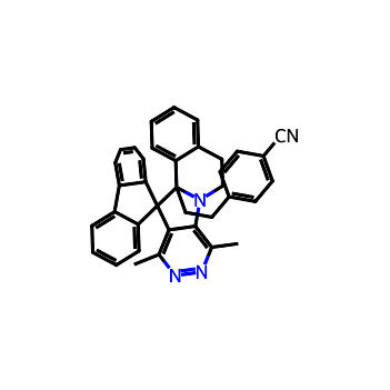 Cc1nnc(C)c2c1N1CCc3ccccc3C1(CCc1ccc(C#N)cc1)C21c2ccccc2-c2ccccc21